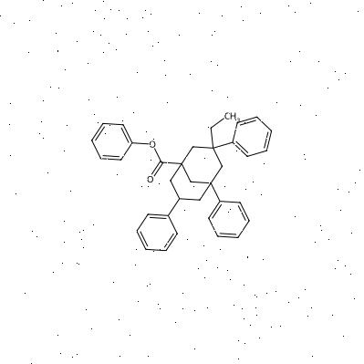 CCC1(c2ccccc2)CC2(C(=O)Oc3ccccc3)CC(c3ccccc3)CC(c3ccccc3)(C2)C1